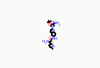 Cc1ccc2c(N)c(C(=O)NC3CCc4nc(N5CC(N)C6(C5)OCC(C)(C)O6)ccc4C3)sc2n1